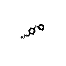 O/N=C/c1ccc(Sc2ccccc2)cc1